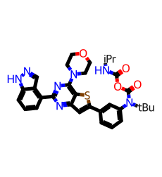 CC(C)NC(=O)OC(=O)N(c1cccc(-c2cc3nc(-c4cccc5[nH]ncc45)nc(N4CCOCC4)c3s2)c1)C(C)(C)C